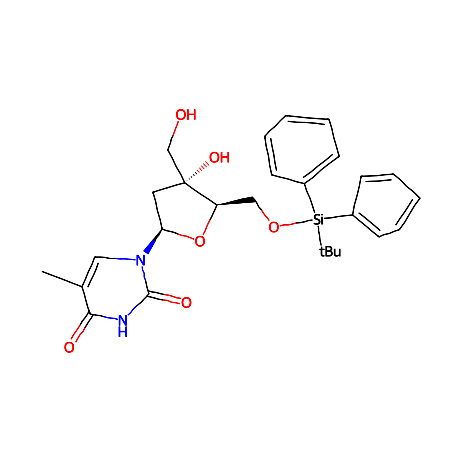 Cc1cn([C@H]2C[C@@](O)(CO)[C@@H](CO[Si](c3ccccc3)(c3ccccc3)C(C)(C)C)O2)c(=O)[nH]c1=O